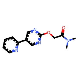 CN(C)C(=O)COc1ncc(-c2ccccn2)cn1